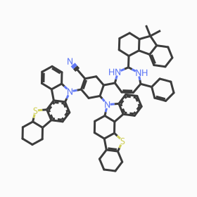 CC1(C)C2CCCC=C2C2C(C3NC(C4C=CCCC4)C=CC(C4CC(C#N)=C(N5c6ccc7c(c6C6C=CC=CC65)SC5CCCCC75)CC4N4c5ccccc5C5C6SC7=C(CCCC7)C6CCC54)N3)CCCC21